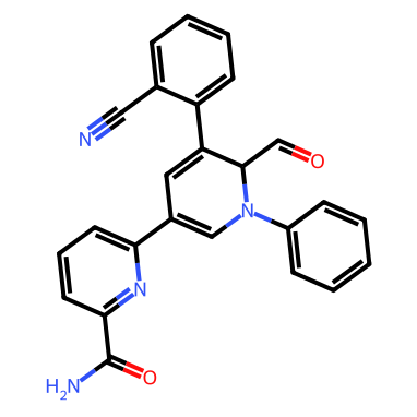 N#Cc1ccccc1C1=CC(c2cccc(C(N)=O)n2)=CN(c2ccccc2)C1C=O